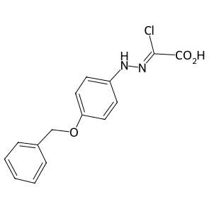 O=C(O)/C(Cl)=N/Nc1ccc(OCc2ccccc2)cc1